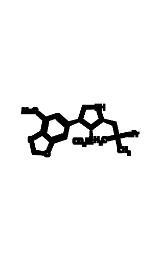 CCCC(C)(C)C[C@@H]1NC[C@H](c2cc(OC)c3c(c2)OCO3)[C@H]1C(=O)OCC